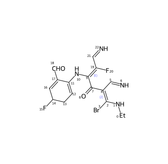 CCN/C(Br)=C(\C=N)C(=O)/C(NC1=CCC(F)C=C1C=O)=C(\F)C=N